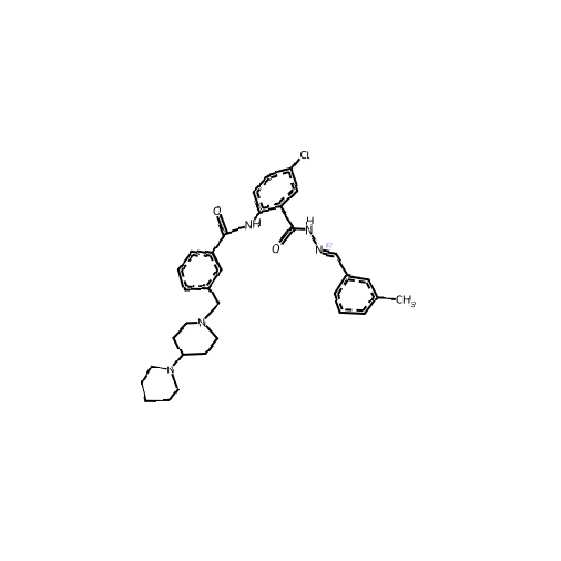 Cc1cccc(/C=N/NC(=O)c2cc(Cl)ccc2NC(=O)c2cccc(CN3CCC(N4CCCCC4)CC3)c2)c1